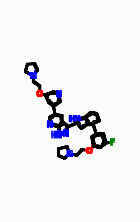 Fc1cc(OCCN2CCCC2)cc(-c2cccc3[nH]c(-c4n[nH]c5ncc(-c6cncc(OCCN7CCCC7)c6)cc45)cc23)c1